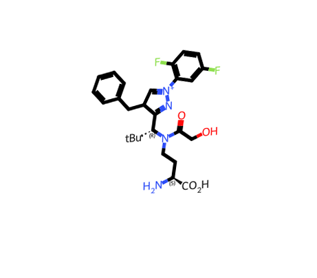 CC(C)(C)[C@H](C1=N[N+](c2cc(F)ccc2F)=CC1Cc1ccccc1)N(CC[C@H](N)C(=O)O)C(=O)CO